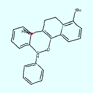 CC(C)(C)c1cccc2c1CCC(CO)=C2O[SiH](c1ccccc1)c1ccccc1